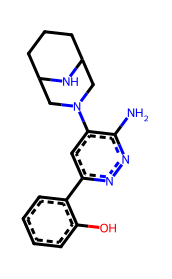 Nc1nnc(-c2ccccc2O)cc1N1CC2CCCC(C1)N2